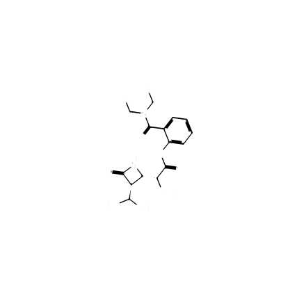 CCN(CC)C(=O)c1ccccc1SC(=O)C(C)[C@H]1NC(=O)[C@@H]1C(C)O